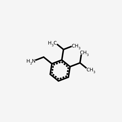 CC(C)c1cccc(CN)c1C(C)C